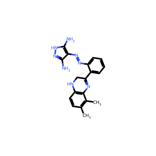 Cc1ccc2c(c1C)N=C(c1ccccc1N=Nc1c(N)n[nH]c1N)CN2